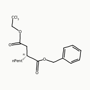 CCCCC[C@H](CC(=O)OCC(Cl)(Cl)Cl)C(=O)OCc1ccccc1